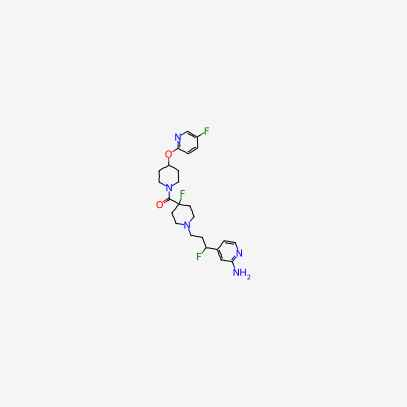 Nc1cc(C(F)CCN2CCC(F)(C(=O)N3CCC(Oc4ccc(F)cn4)CC3)CC2)ccn1